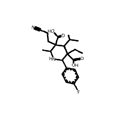 CCC1(C(=O)O)C(c2ccc(F)cc2)NC(C)C(CCC#N)(C(=O)O)C1C(C)C